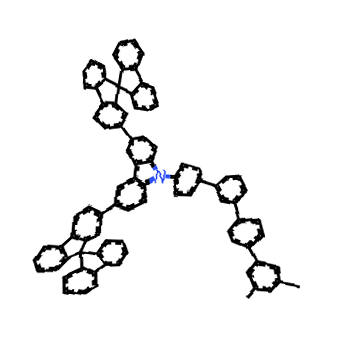 Cc1cc(C)cc(-c2ccc(-c3cccc(-c4ccc(-n5c6ccc(-c7ccc8c(c7)C7(c9ccccc9-c9ccccc97)c7ccccc7-8)cc6c6cc(-c7ccc8c(c7)C7(c9ccccc9-c9ccccc97)c7ccccc7-8)ccc65)cc4)c3)cc2)c1